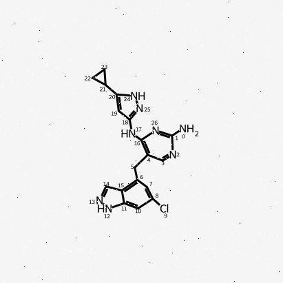 Nc1ncc(Cc2cc(Cl)cc3[nH]ncc23)c(Nc2cc(C3CC3)[nH]n2)n1